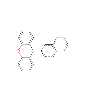 c1ccc2c(c1)Oc1ccccc1C2c1ccc2ccccc2c1